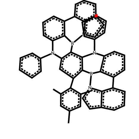 Cc1cc(C)c(-c2cc3c(c4c2B2c5c(cccc5N4c4ccccc4)-c4cccc5ccn2c45)B2c4c(cccc4N3c3ccccc3)-c3cccc4ccn2c34)c(C)c1